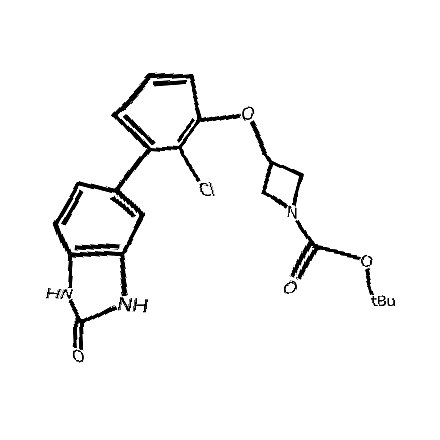 CC(C)(C)OC(=O)N1CC(Oc2cccc(-c3ccc4[nH]c(=O)[nH]c4c3)c2Cl)C1